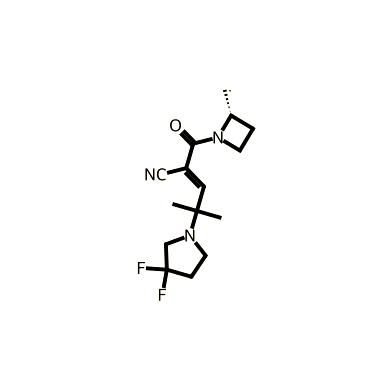 [CH2][C@@H]1CCN1C(=O)/C(C#N)=C/C(C)(C)N1CCC(F)(F)C1